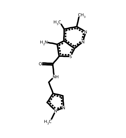 Cc1nnc2sc(C(=O)NCc3cnn(C)c3)c(N)c2c1C